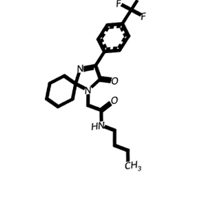 CCCCNC(=O)CN1C(=O)C(c2ccc(C(F)(F)F)cc2)=NC12CCCCC2